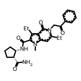 CCc1c(C(=O)N[C@H]2CCC[C@H]2C(N)=O)n(C)c2cc(CC)n(CC(=O)c3ccccc3)c(=O)c12